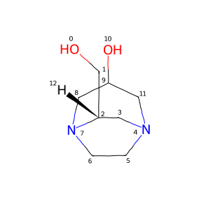 OC[C@@H]1CN2CCN1CC(O)C2